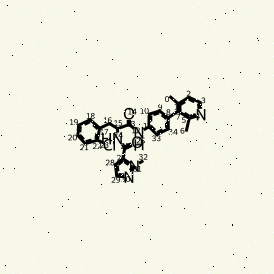 Cc1ccnc(C)c1-c1ccc(NC(=O)C(Cc2ccccc2Cl)NC(=O)c2ccnn2C)cc1